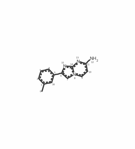 Cc1cccc(-c2cn3ccc(N)nc3n2)c1